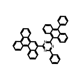 c1ccc(-c2nc(-c3c4ccccc4c(-c4ccccc4)c4ccccc34)nc(-c3cc4c5ccccc5c5ccccc5c4c4ccccc34)n2)cc1